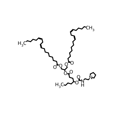 CCCCC/C=C\C/C=C\CCCCCCCC(=O)OCC(COC(=O)CCCCCCC/C=C\C/C=C\CCCCC)OC(=O)CCC(CCCC)OC(=O)NCCN1CCCC1